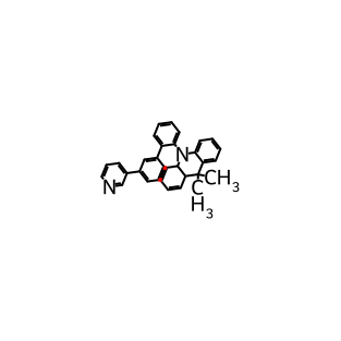 CC1(C)c2ccccc2N(c2ccccc2C2=CC(c3cccnc3)=CCC2)C2C#CC=CC21